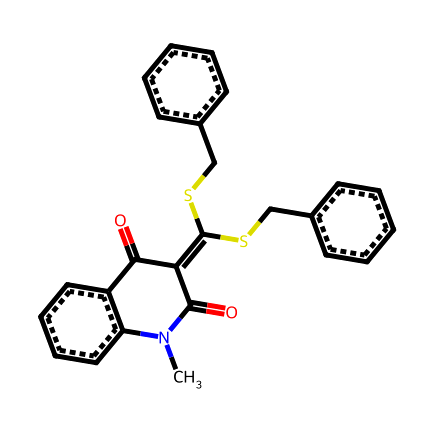 CN1C(=O)C(=C(SCc2ccccc2)SCc2ccccc2)C(=O)c2ccccc21